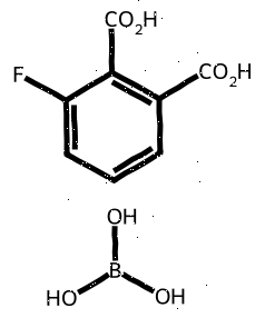 O=C(O)c1cccc(F)c1C(=O)O.OB(O)O